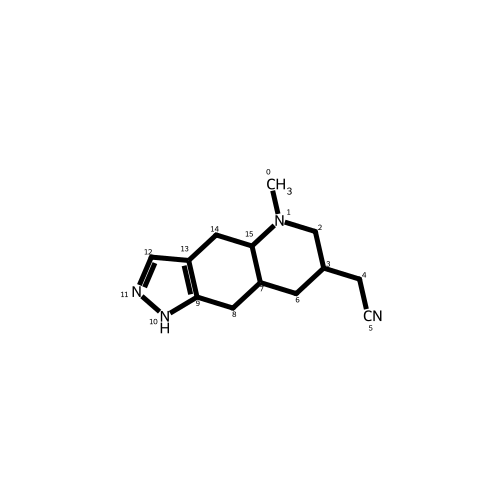 CN1CC(CC#N)CC2Cc3[nH]ncc3CC21